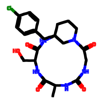 CC1NC(=O)NCC(=O)N2CCCC(Cc3ccc(Cl)cc3)(C2)NC(=O)C(CO)NC1=O